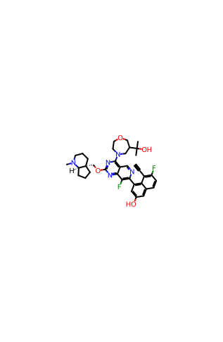 C#Cc1c(F)ccc2cc(O)cc(-c3ncc4c(N5CCOCC(C(C)(C)O)C5)nc(OC[C@]56CCC[C@H]5N(C)CCC6)nc4c3F)c12